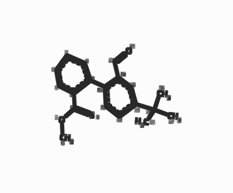 COC(=S)c1ccccc1-c1ccc(C(C)(C)C)cc1C=O